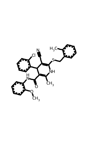 COc1ccccc1NC(=O)C1=C(C)NC(SCc2ccccc2C)=C(C#N)C1c1ccccc1Cl